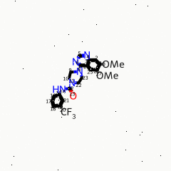 COc1cc2ncnc(N3CCN(C(=O)Nc4cccc(C(F)(F)F)c4)CC3)c2cc1OC